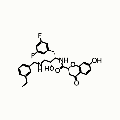 CCc1cccc(CNC[C@H](O)[C@H](Cc2cc(F)cc(F)c2)NC(=O)C2CC(=O)c3ccc(O)cc3O2)c1